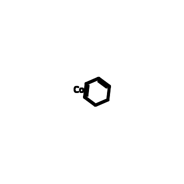 C1=CCCC=C1.[Co]